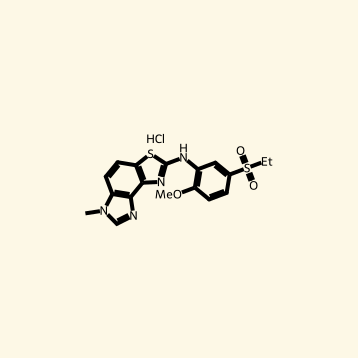 CCS(=O)(=O)c1ccc(OC)c(Nc2nc3c(ccc4c3ncn4C)s2)c1.Cl